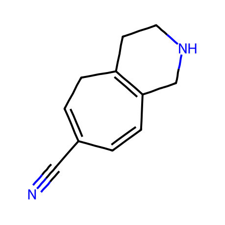 N#CC1=CCC2=C(C=C1)CNCC2